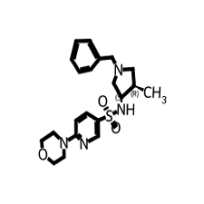 C[C@@H]1CN(Cc2ccccc2)C[C@H]1NS(=O)(=O)c1ccc(N2CCOCC2)nc1